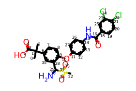 CC(C)(C(=O)O)c1ccc(Oc2ccc(NC(=O)c3ccc(Cl)c(Cl)c3)cc2)c(C(N)S(C)(=O)=O)c1